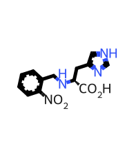 O=C(O)[C@H](Cc1c[nH]cn1)NCc1ccccc1[N+](=O)[O-]